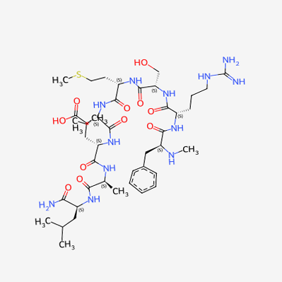 CN[C@@H](Cc1ccccc1)C(=O)N[C@@H](CCCNC(=N)N)C(=O)N[C@@H](CO)C(=O)N[C@@H](CCSC)C(=O)N[C@@H](CC(=O)O)C(=O)N[C@@H](CC(C)C)C(=O)N[C@@H](C)C(=O)N[C@@H](CC(C)C)C(N)=O